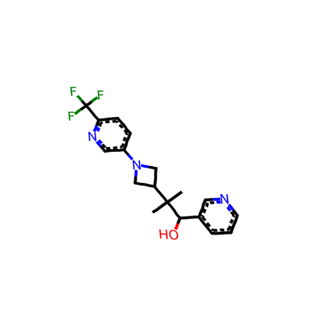 CC(C)(C1CN(c2ccc(C(F)(F)F)nc2)C1)C(O)c1cccnc1